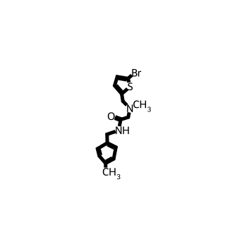 Cc1ccc(CNC(=O)CN(C)Cc2ccc(Br)s2)cc1